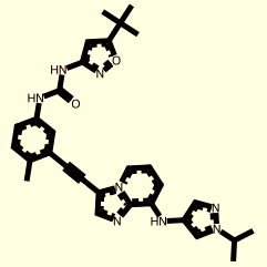 Cc1ccc(NC(=O)Nc2cc(C(C)(C)C)on2)cc1C#Cc1cnc2c(Nc3cnn(C(C)C)c3)cccn12